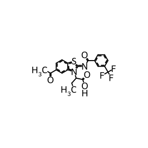 CCC(C(=O)O)n1c(=NC(=O)c2cccc(C(F)(F)F)c2)sc2ccc(C(C)=O)cc21